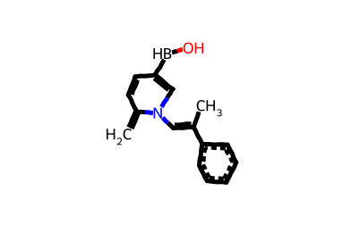 C=C1C=CC(BO)=CN1/C=C(\C)c1ccccc1